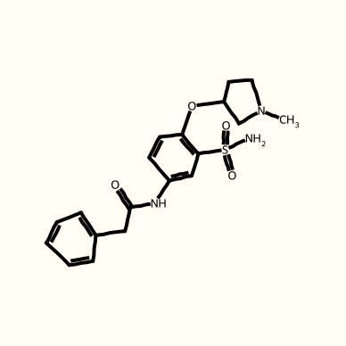 CN1CCC(Oc2ccc(NC(=O)Cc3ccccc3)cc2S(N)(=O)=O)C1